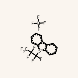 FC(F)(F)C(F)(F)C(F)(F)[s+]1c2ccccc2c2ccccc21.F[B-](F)(F)F